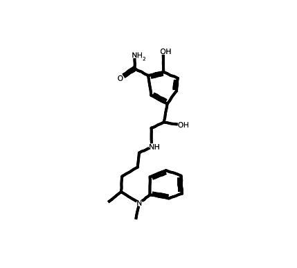 CC(CCCNCC(O)c1ccc(O)c(C(N)=O)c1)N(C)c1ccccc1